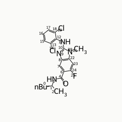 CCCC[C@H](C)NC(=O)c1cc2nc(Nc3c(Cl)cccc3Cl)n(C)c2cc1F